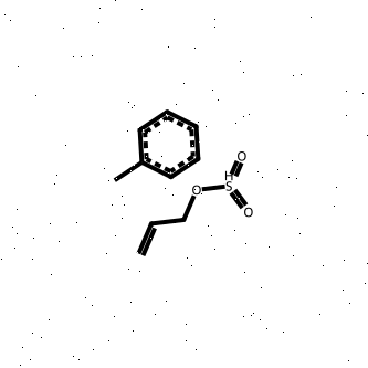 C=CCO[SH](=O)=O.Cc1ccccc1